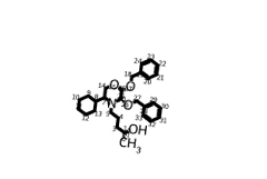 C[C@@H](O)CCCN1C(C2CCCCC2)CO[C@H](OCc2ccccc2)[C@H]1OCc1ccccc1